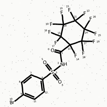 O=C(NS(=O)(=O)c1ccc(Br)cc1)C1(F)C(F)(F)C(F)(F)C(F)(F)C(F)(F)C1(F)F